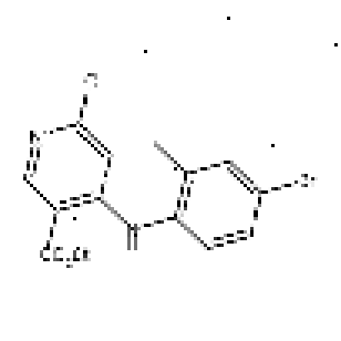 CCOC(=O)c1cnc(Cl)cc1Nc1ccc(Br)cc1C